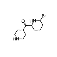 O=C(C1CCNCC1)C1CCCC(Br)N1